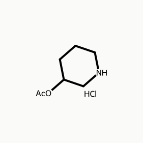 CC(=O)OC1CCCNC1.Cl